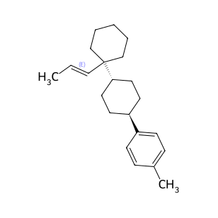 C/C=C/C1([C@H]2CC[C@H](c3ccc(C)cc3)CC2)CCCCC1